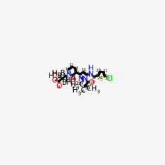 BC(B)(C(=O)O)C(B)(B)n1cccc(-c2cc(NCc3ccc(Cl)s3)n(C(=O)C(C)(C)C)n2)c1=O